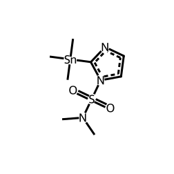 CN(C)S(=O)(=O)n1ccn[c]1[Sn]([CH3])([CH3])[CH3]